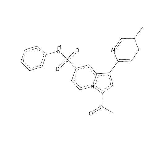 CC(=O)c1cc(C2=CCC(C)C=N2)c2cc(S(=O)(=O)Nc3ccccc3)ccn12